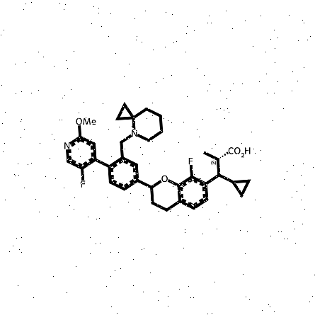 COc1cc(-c2ccc(C3CCc4ccc(C(C5CC5)[C@H](C)C(=O)O)c(F)c4O3)cc2CN2CCCCC23CC3)c(F)cn1